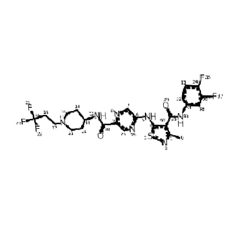 Cc1nsc(Nc2cnc(C(=O)NC3CCN(CCC(F)(F)F)CC3)cn2)c1C(=O)Nc1ccc(F)c(F)c1